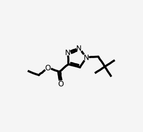 CCOC(=O)c1cn(CC(C)(C)C)nn1